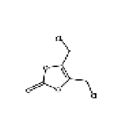 O=c1oc(CCl)c(CCl)o1